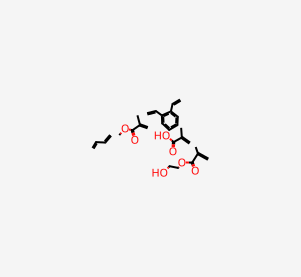 C=C(C)C(=O)O.C=C(C)C(=O)OC.C=C(C)C(=O)OCCO.C=CC=C.C=Cc1ccccc1C=C